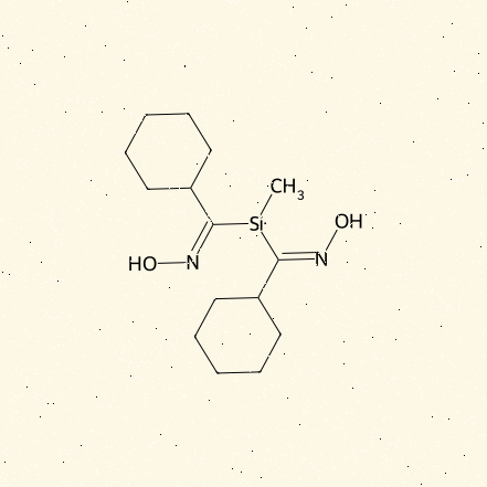 C[Si](C(=NO)C1CCCCC1)C(=NO)C1CCCCC1